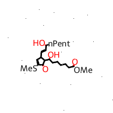 CCCCCC(O)C=CC1C=C(SC)C(=O)C1C(O)CCCCCC(=O)OC